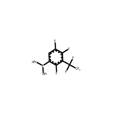 CCCP(CCC)c1cc(F)c(F)c(C(F)(F)C(F)(F)F)c1F